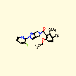 COc1c(C#N)ccc(OCC(F)(F)F)c1C(=O)N1Cc2cn(-c3ncccc3F)nc2C1